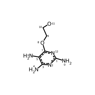 Nc1nc(N)c(N)c(OCC[O])n1